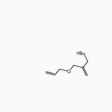 C=CCOCC(=C)CCCCC